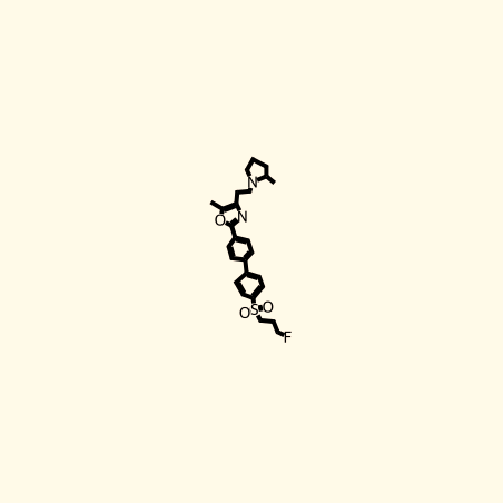 Cc1oc(-c2ccc(-c3ccc(S(=O)(=O)CCCF)cc3)cc2)nc1CCN1CCCC1C